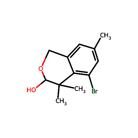 Cc1cc(Br)c2c(c1)COC(O)C2(C)C